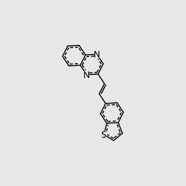 C(=Cc1cnc2ccccc2n1)c1ccc2ccsc2c1